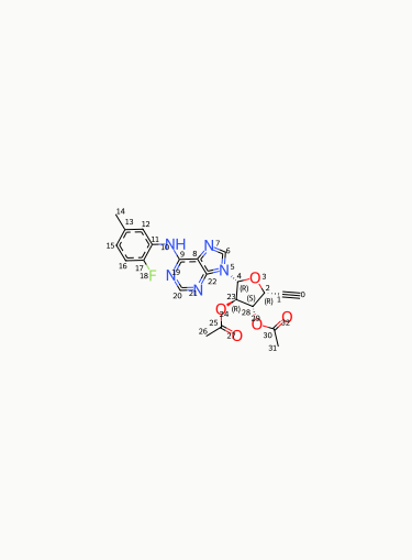 C#C[C@H]1O[C@@H](n2cnc3c(Nc4cc(C)ccc4F)ncnc32)[C@H](OC(C)=O)[C@H]1OC(C)=O